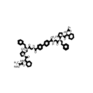 CN[C@@H](C)C(=O)N[C@H](C(=O)N1CC[C@H](C)[C@H]1CN(CCc1ccccc1)C(=O)CNC(=O)c1ccc(-c2ccc(C(=O)NCC(=O)N(CCc3ccccc3)C3[C@@H](C)CCN3C(=O)[C@@H](NC(=O)C(C)C)C3CCCCC3)cc2)cc1)C1CCCCC1